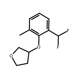 Cc1cccc(C(F)F)c1OC1CCOC1